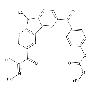 CCCOC(=O)Oc1ccc(C(=O)c2ccc3c(c2)c2cc(C(=O)/C(CCC)=N/O)ccc2n3CC)cc1